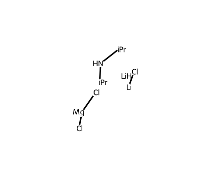 CC(C)NC(C)C.[Cl][Mg][Cl].[LiH].[Li][Cl]